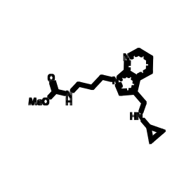 COC(=O)NCCCn1cc(CNC2CC2)c2cccnc21